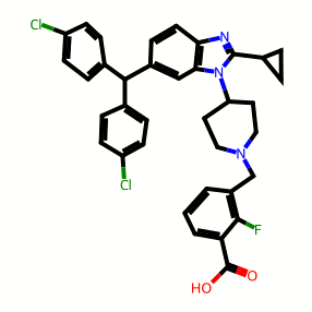 O=C(O)c1cccc(CN2CCC(n3c(C4CC4)nc4ccc(C(c5ccc(Cl)cc5)c5ccc(Cl)cc5)cc43)CC2)c1F